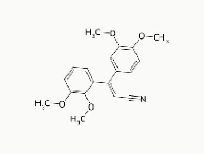 COc1ccc(/C(=C\C#N)c2cccc(OC)c2OC)cc1OC